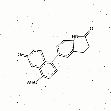 COc1ccc(-c2ccc3c(c2)CCC(=O)N3)c2ccc(=O)[nH]c12